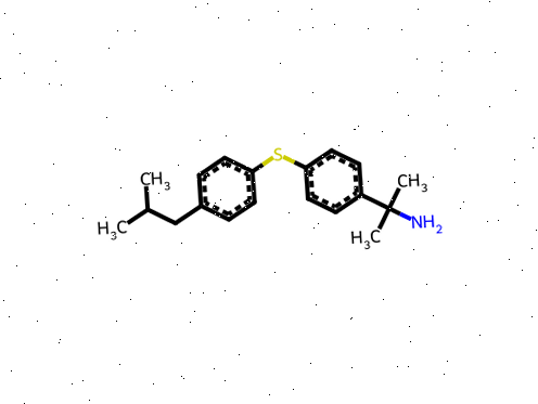 CC(C)Cc1ccc(Sc2ccc(C(C)(C)N)cc2)cc1